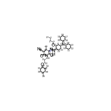 CCCCOc1cc(N(c2ccccc2)c2ccccc2)ccc1N/N=C1\C(=O)N(CCCOc2ccc(C)cc2C)C(=O)C(C#N)=C1C